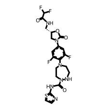 O=C(NC[C@H]1CN(c2cc(F)c(N3CCNN(C(=O)Nc4nccs4)CC3)c(F)c2)C(=O)O1)C(F)F